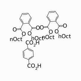 CCCCCCCCOC(=O)c1ccccc1C(=O)OCCCCCCCC.CCCCCCCCOC(=O)c1ccccc1C(=O)OCCCCCCCC.O=C(O)c1ccc(C(=O)O)cc1